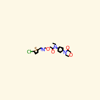 CCN(C(=O)COC/N=C/c1ccc(Cl)s1)c1ccc(N2CCOCC2=O)cc1